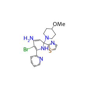 COC1CCN(C2(c3nccs3)C=C(N)C(Br)=C(c3ccccn3)N2)CC1